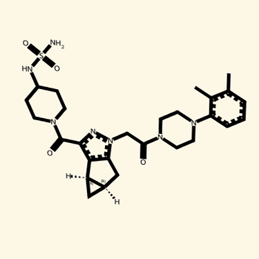 Cc1cccc(N2CCN(C(=O)Cn3nc(C(=O)N4CCC(NS(N)(=O)=O)CC4)c4c3C[C@H]3C[C@@H]43)CC2)c1C